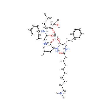 CC(C)C[C@H](NC(=O)[C@H](CCc1ccccc1)NC(=O)CCCCCCCCCN(C)C)C(=O)N[C@@H](Cc1ccccc1)C(=O)N[C@@H](CC(C)C)C(=O)[C@@]1(C)CO1